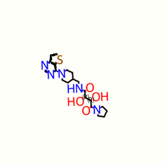 O=C(NCC1CCN(c2ncnc3ccsc23)CC1)[C@H](O)[C@@H](O)C(=O)N1CCCC1